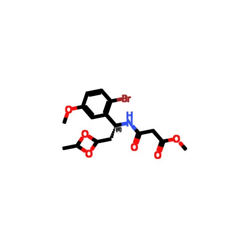 COC(=O)CC(=O)N[C@H](CC1OC(C)O1)c1cc(OC)ccc1Br